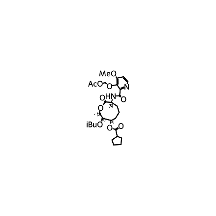 COc1ccnc(C(=O)N[C@H]2CCC[C@H](OC(=O)C3CCCC3)[C@@H](OCC(C)C)[C@H](C)OC2=O)c1OCOC(C)=O